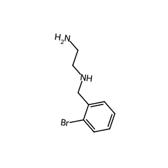 NCCNCc1ccccc1Br